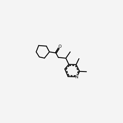 Cc1nccc(C(C)CC(=O)C2CCCCC2)c1C